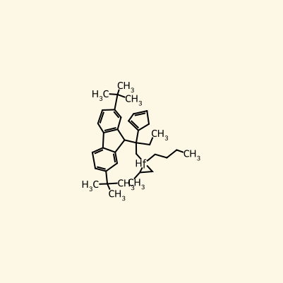 CCC[CH2][Hf]1([CH2]C(CC)(C2=CC=CC2)C2c3cc(C(C)(C)C)ccc3-c3ccc(C(C)(C)C)cc32)[CH2][CH]1C